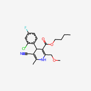 CCCCOC(=O)C1=C(COC)NC(C)=C(C#N)C1c1ccc(F)cc1Cl